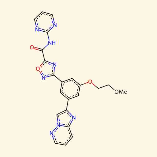 COCCOc1cc(-c2cn3ncccc3n2)cc(-c2noc(C(=O)Nc3ncccn3)n2)c1